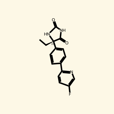 CC[C@@]1(c2ccc(-c3ccc(F)cn3)cc2)NC(=O)NC1=O